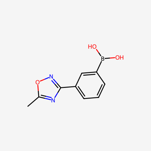 Cc1nc(-c2cccc(B(O)O)c2)no1